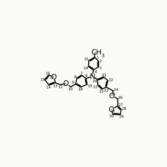 Cc1ccc(N(c2ccc(COCc3ccco3)cc2)c2ccc(COCc3ccco3)cc2)cc1